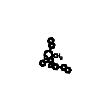 C=C1/C=C(c2ccc3ccccc3c2)\C=C/COc2c1cc1c(oc3ccc(-c4ccc5ccccc5c4)cc31)c2-c1ccccc1